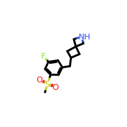 CS(=O)(=O)c1cc(F)cc(CC2CC3(CNC3)C2)c1